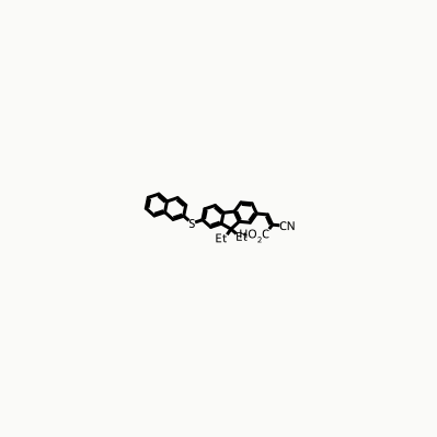 CCC1(CC)c2cc(C=C(C#N)C(=O)O)ccc2-c2ccc(Sc3ccc4ccccc4c3)cc21